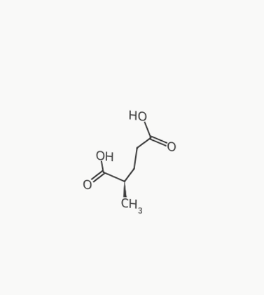 C[C@H](CCC(=O)O)C(=O)O